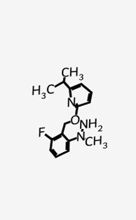 CC(C)c1cccc(OCc2c(F)cccc2N(C)N)n1